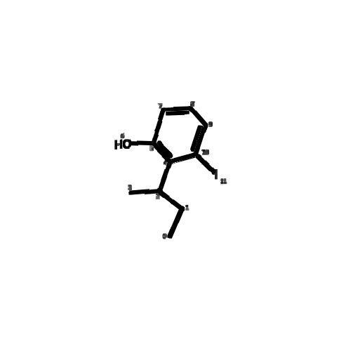 CCC(C)c1c(O)cccc1I